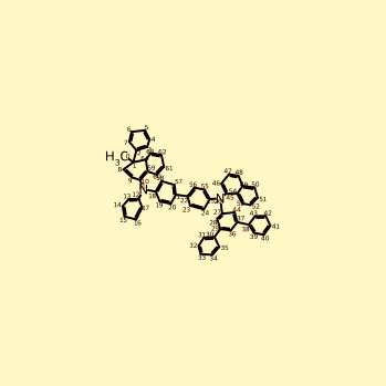 CC1(c2ccccc2)C=CC(N(c2ccccc2)c2ccc(-c3ccc(N(c4cc(-c5ccccc5)cc(-c5ccccc5)c4)c4cccc5ccccc45)cc3)cc2)=C2C=CC=CC21